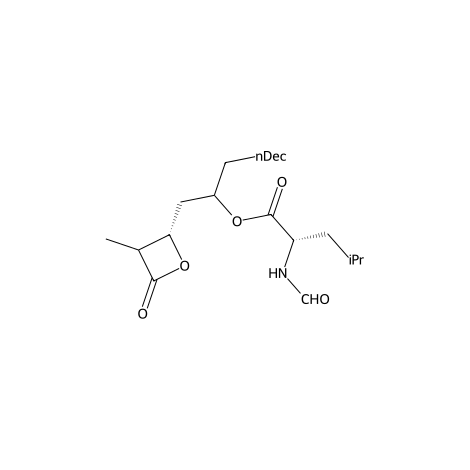 CCCCCCCCCCCC(C[C@@H]1OC(=O)C1C)OC(=O)[C@H](CC(C)C)NC=O